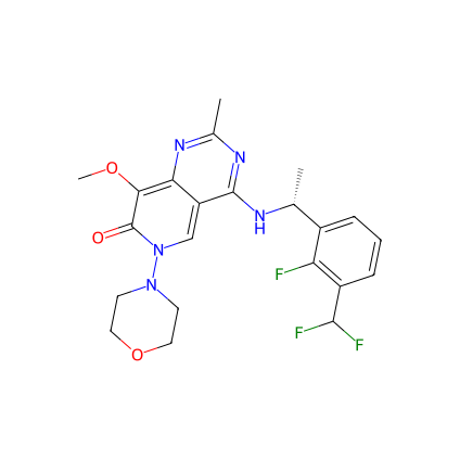 COc1c(=O)n(N2CCOCC2)cc2c(N[C@H](C)c3cccc(C(F)F)c3F)nc(C)nc12